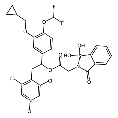 O=C(CN1C(=O)c2ccccc2S1(O)O)OC(Cc1c(Cl)c[n+]([O-])cc1Cl)c1ccc(OC(F)F)c(OCC2CC2)c1